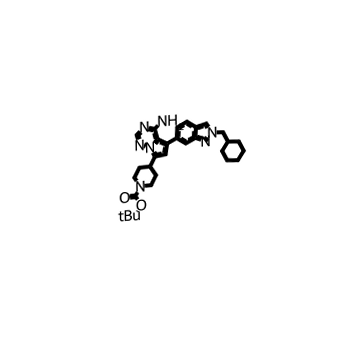 CC(C)(C)OC(=O)N1CCC(c2cc(-c3ccc4cn(CC5CCCCC5)nc4c3)c3c(N)ncnn23)CC1